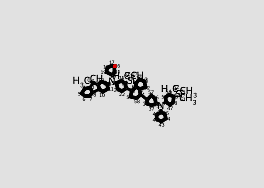 CC1(C)c2ccccc2-c2ccc(N(c3ccccc3)c3ccc4c(c3)[Si](C)(C)c3cccc5c(-c6ccc(N(c7ccccc7)c7ccc([Si](C)(C)C)cc7)cc6)ccc-4c35)cc21